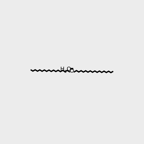 C=C.CCCCCCCCCCCCCCCCCCOCCCCCCCCCCCCCCCCCC.O